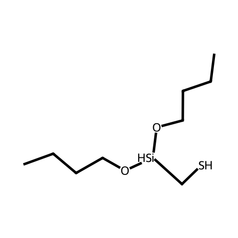 CCCCO[SiH](CS)OCCCC